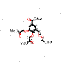 COC(=O)COc1cc(C(=O)OC)cc(COOCC=O)c1OCC(=O)OC